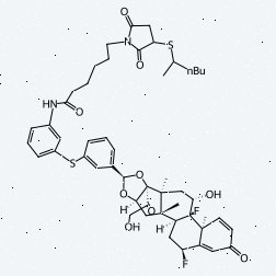 CCCCC(C)SC1CC(=O)N(CCCCCC(=O)Nc2cccc(Sc3cccc([C@@H]4O[C@@H]5C[C@@]6(C)[C@@H]7C[C@H](F)C8=CC(=O)C=C[C@]8(C)[C@@]7(F)[C@@H](O)C[C@]6(C)[C@]5(C(=O)CO)O4)c3)c2)C1=O